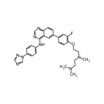 CN(C)CCN(C)CCOc1ccc(-c2ccc3ncnc(Nc4ccc(-n5cncn5)cc4)c3c2)cc1F